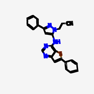 N#CCCn1nc(-c2ccccc2)cc1Nc1ncnc2cc(-c3ccccc3)sc12